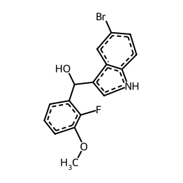 COc1cccc(C(O)c2c[nH]c3ccc(Br)cc23)c1F